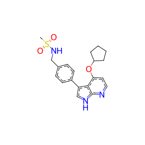 CS(=O)(=O)NCc1ccc(-c2c[nH]c3nccc(OC4CCCC4)c23)cc1